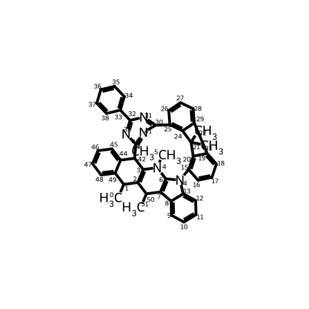 CC1C2=C3N(C)c4c(c5ccccc5n4-c4cccc5c4C(C)(C)c4c(cccc4-5)-c4nc(-c5ccccc5)nc(n4)C3(C)c3ccccc31)C2C